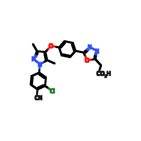 Cc1nn(-c2ccc(C#N)c(Cl)c2)c(C)c1Oc1ccc(-c2nnc(CC(=O)O)o2)cc1